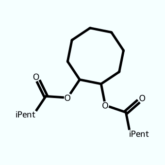 CCCC(C)C(=O)OC1CCCCCCC1OC(=O)C(C)CCC